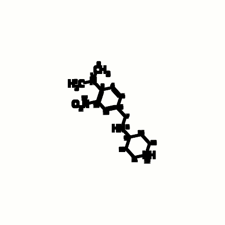 CN(C)c1ccc(CNC2CCNCC2)cc1[N+](=O)[O-]